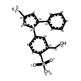 CS(=O)(=O)c1ccc(-n2nc(C(F)(F)F)cc2-c2ccccc2)cc1CO